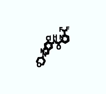 O=C(Nc1cc2cn(C3CCOCC3)nc2cc1Cl)c1cccc(C(F)F)n1